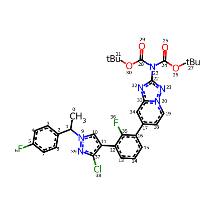 CC(c1ccc(F)cc1)n1cc(-c2cccc(-c3ccn4nc(N(C(=O)OC(C)(C)C)C(=O)OC(C)(C)C)nc4c3)c2F)c(Cl)n1